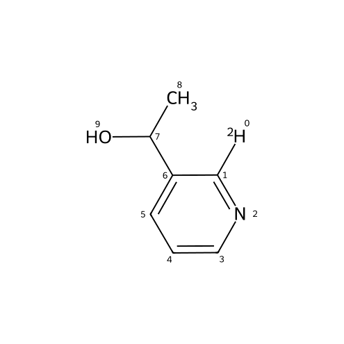 [2H]c1ncccc1C(C)O